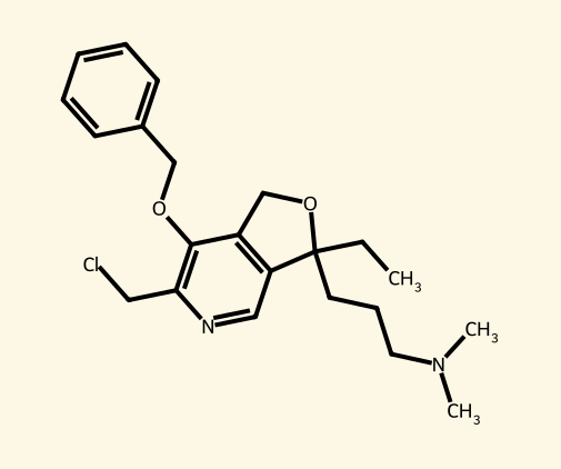 CCC1(CCCN(C)C)OCc2c1cnc(CCl)c2OCc1ccccc1